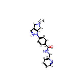 N#CN1Cc2cnn(-c3ccc(C(=O)NCc4ccccn4)cc3)c2C1